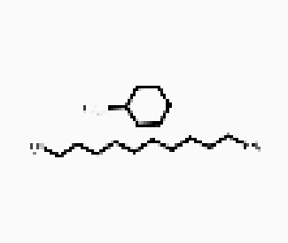 NCCCCCCCCCCN.O=C(O)C1CCCCC1